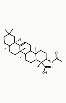 CC(=O)O[C@@H]1CC[C@@]2(C)C(CC[C@]3(C)C2CC=C2[C@@H]4CC(C)(C)CC[C@]4(C)CC[C@]23C)[C@@]1(C)C(=O)O